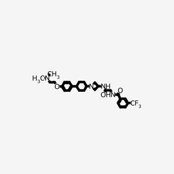 CN(C)CCOc1ccc(C2CCC(N3CC(NC(=O)CNC(=O)c4cccc(C(F)(F)F)c4)C3)CC2)cc1